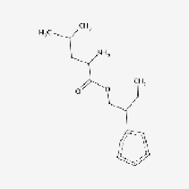 C=CC(COC(=O)C(N)CC(C)C)c1ccccc1